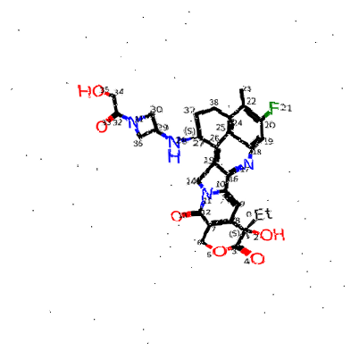 CC[C@@]1(O)C(=O)OCc2c1cc1n(c2=O)Cc2c-1nc1cc(F)c(C)c3c1c2[C@@H](NC1CN(C(=O)CO)C1)CC3